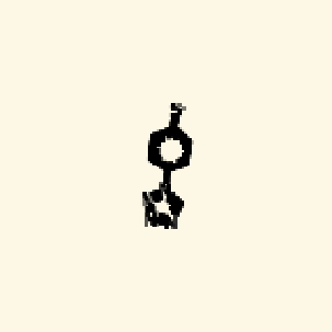 [S]c1ccc(-n2cnnn2)cc1